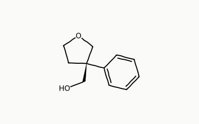 OC[C@@]1(c2ccccc2)CCOC1